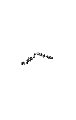 CCC(C)CNCCCNCCCNCc1ccc(-c2cccc(-c3ccc(CNCCCNCCCNCC(C)CC)cc3)c2)cc1